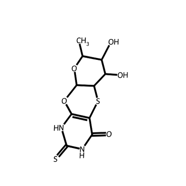 CC1OC2Oc3[nH]c(=S)[nH]c(=O)c3SC2C(O)C1O